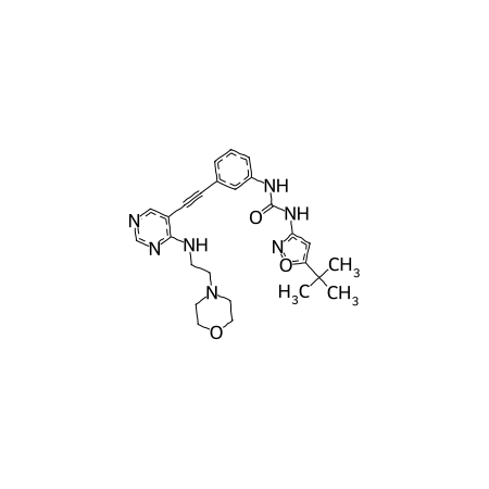 CC(C)(C)c1cc(NC(=O)Nc2cccc(C#Cc3cncnc3NCCN3CCOCC3)c2)no1